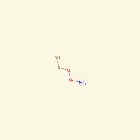 NOOSS